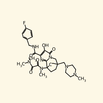 CN1CCN(CC23CCC(N(C)C(=O)C(=O)N(C)C)(CC2)c2nc(C(=O)NCc4ccc(F)cc4)c(O)c(=O)n2C3)CC1